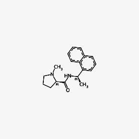 C[C@@H](NC(=O)[C@H]1CCCN1C)c1cccc2ccccc12